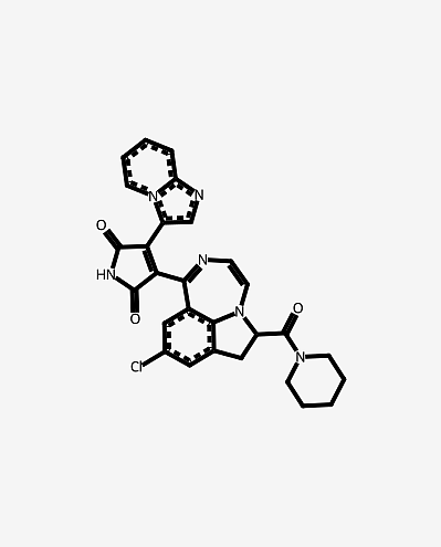 O=C1NC(=O)C(c2cnc3ccccn23)=C1C1=NC=CN2c3c(cc(Cl)cc31)CC2C(=O)N1CCCCC1